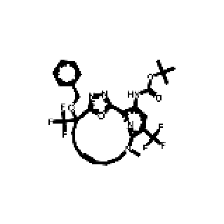 CN1CCC=CCCC(OCc2ccccc2)(C(F)(F)F)c2nnc(o2)-c2nc1c(C(F)(F)F)cc2NC(=O)OC(C)(C)C